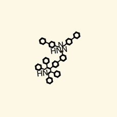 c1ccc(C2=C(c3ccccc3)C(c3ccc(-c4cccc(C5=NC(c6ccc(-c7ccccc7)cc6)=NC(c6ccc(-c7ccccc7)cc6)N5)c4)cc3)=C(c3ccccc3)C(c3ccccc3)N2)cc1